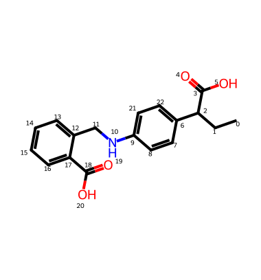 CCC(C(=O)O)c1ccc(NCc2ccccc2C(=O)O)cc1